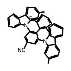 Cc1ccc2c3ccccc3n(-c3cc(C#N)cc(-n4c5ccccc5c5ccc(C)cc54)c3-c3c(F)cccc3F)c2c1